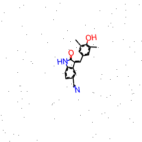 Cc1cc(C=C2C(=O)Nc3ccc(C#N)cc32)cc(C)c1O